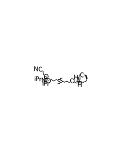 CC(C)N(C(C)C)P(OCCC#N)OCCCSSCCCOC[C@@H]1[C@@H]2CCC#CCC[C@@H]21